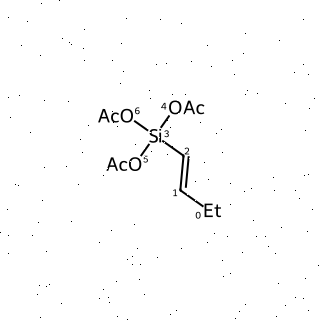 CCC=C[Si](OC(C)=O)(OC(C)=O)OC(C)=O